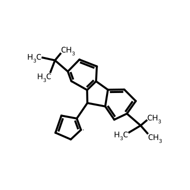 CC(C)(C)c1ccc2c(c1)C(C1=[C]CC=C1)c1cc(C(C)(C)C)ccc1-2